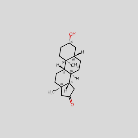 C[C@]12CC[C@H]3[C@@H](CC[C@H]4C[C@@H](O)CC[C@@]43C)[C@@H]1CC(=O)C2